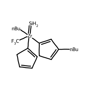 CCCCC1=CC[C]([Zr](=[SiH2])([CH2]CCC)([C]2=CC=CC2)[C](F)(F)F)=C1